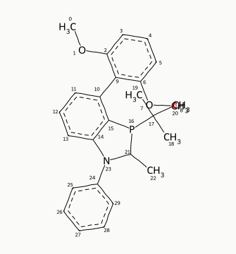 COc1cccc(OC)c1-c1cccc2c1P(C(C)(C)C)C(C)N2c1ccccc1